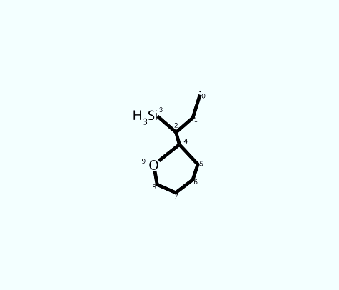 [CH2]CC([SiH3])C1CCCCO1